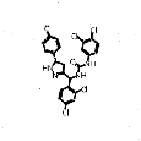 O=C(Nc1ccc(Cl)c(Cl)c1)NC(C1=NNC(c2ccc(Cl)cc2)C1)c1ccc(Cl)cc1Cl